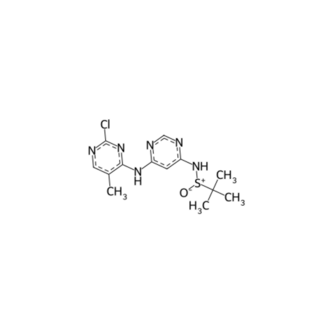 Cc1cnc(Cl)nc1Nc1cc(N[S+]([O-])C(C)(C)C)ncn1